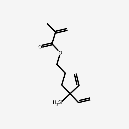 C=CC([SiH3])(C=C)CCCOC(=O)C(=C)C